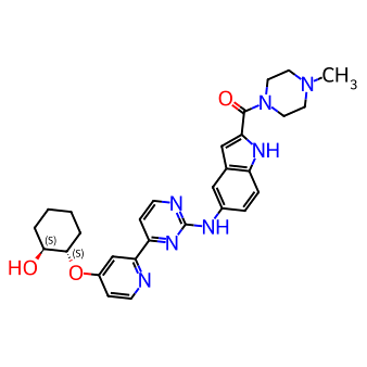 CN1CCN(C(=O)c2cc3cc(Nc4nccc(-c5cc(O[C@H]6CCCC[C@@H]6O)ccn5)n4)ccc3[nH]2)CC1